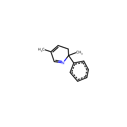 CC1=CCC(C)(c2ccccc2)N=C1